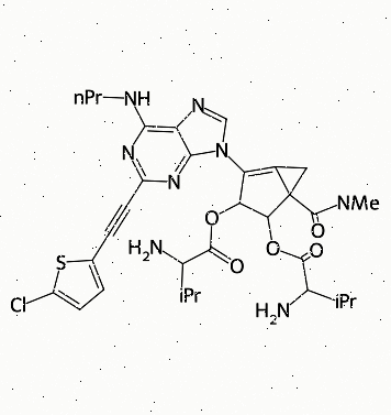 CCCNc1nc(C#Cc2ccc(Cl)s2)nc2c1ncn2C1=C2CC2(C(=O)NC)C(OC(=O)C(N)C(C)C)C1OC(=O)C(N)C(C)C